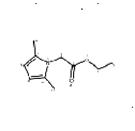 CCOC(=O)Cn1c(C)ccc1C